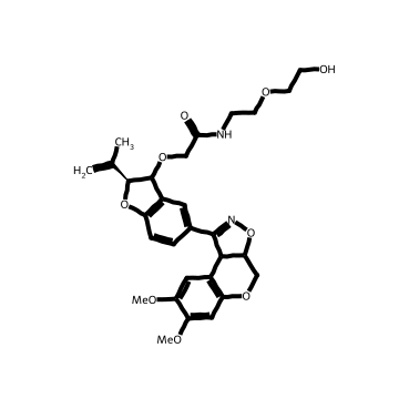 C=C(C)[C@@H]1Oc2ccc(C3=NOC4COc5cc(OC)c(OC)cc5C34)cc2C1OCC(=O)NCCOCCO